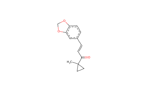 CC1(C(=O)C=Cc2ccc3c(c2)OCO3)CC1